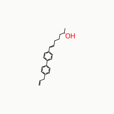 C=CCc1ccc(-c2ccc(/C=C/CCCC(C)O)cc2)cc1